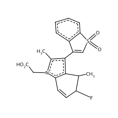 Cc1c(C2=CS(=O)(=O)c3ccccc32)c2c(n1CC(=O)O)C=CC(F)C2C